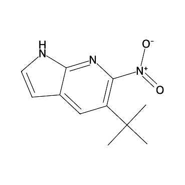 CC(C)(C)c1cc2cc[nH]c2nc1[N+](=O)[O-]